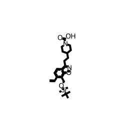 C=Cc1ccc2c(CCC3CCN(C(=O)O)CC3)noc2c1CO[Si](C)(C)C(C)(C)C